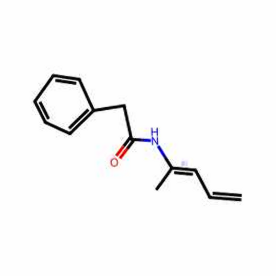 C=C/C=C(\C)NC(=O)Cc1ccccc1